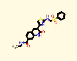 CCNC(=O)c1ccc2cc(-c3csc(NCS(=O)(=O)c4ccccc4)n3)c(=O)[nH]c2c1